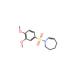 COc1ccc(S(=O)(=O)N2C=CCCCC2)cc1OC